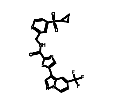 O=C(NCc1cc(S(=O)(=O)C2CC2)ccn1)c1ncc(-c2cnn3ccc(C(F)(F)F)cc23)s1